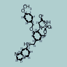 COc1ccc(COc2cc(CNc3ccn4ccnc4c3)cc(F)c2N2CC(=O)NS2(=O)=O)cc1